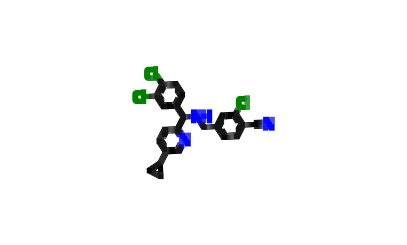 N#Cc1ccc(CNC(c2ccc(Cl)c(Cl)c2)c2ccc(C3CC3)cn2)cc1Cl